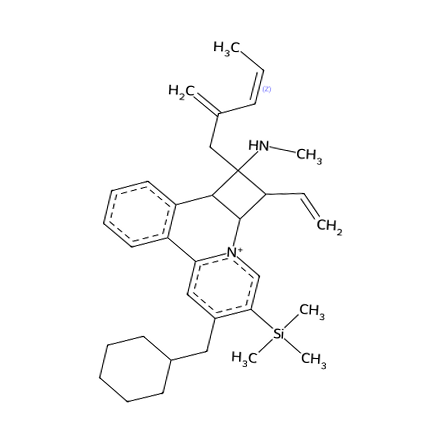 C=CC1C2C(c3ccccc3-c3cc(CC4CCCCC4)c([Si](C)(C)C)c[n+]32)C1(CC(=C)/C=C\C)NC